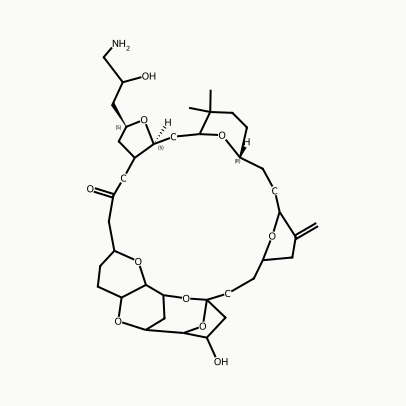 C=C1CC2CCC34CC(O)C(O3)C3CC(O4)C4OC(CCC4O3)CC(=O)CC3C[C@@H](CC(O)CN)O[C@H]3CC3O[C@@H](CCC1O2)CCC3(C)C